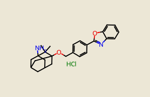 CC1(C)C2(N)CC3CC(C2)CC1(OCc1ccc(-c2nc4ccccc4o2)cc1)C3.Cl